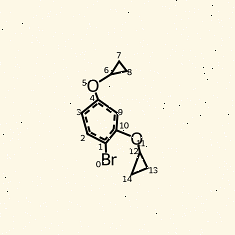 Brc1ccc(OC2CC2)cc1OC1CC1